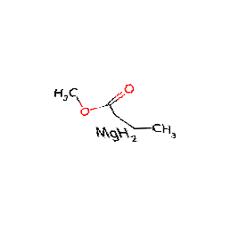 CCC(=O)OC.[MgH2]